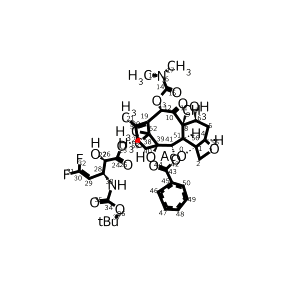 CC(=O)O[C@@]12CO[C@@H]1C[C@H](O)[C@@]1(C)C(=O)[C@H](OC(=O)N(C)C)C3=C(C)[C@@H](OC(=O)[C@H](O)[C@H](C=C(F)F)NC(=O)OC(C)(C)C)C[C@@](O)([C@@H](OC(=O)c4ccccc4)[C@H]21)C3(C)C